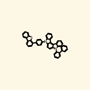 c1ccc(-c2ccccc2-n2c3ccccc3c3c4c5ccccc5n(-c5ccc(-c6cccc7c6sc6ccccc67)cc5)c4ccc32)cc1